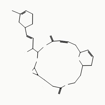 C=C1CCCC2CC=CC(C/C=C\C(=O)OC(C(O)/C=C/C3CCC=C(C)C3)C[C@@H]3OC3[C@@H](O)C1)O2